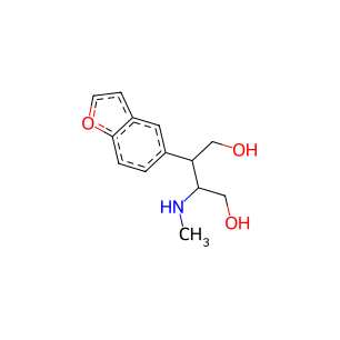 CNC(CO)C(CO)c1ccc2occc2c1